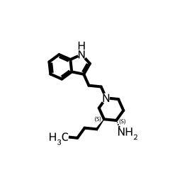 CCCC[C@H]1CN(CCc2c[nH]c3ccccc23)CC[C@@H]1N